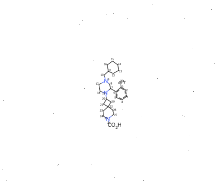 CC(C)c1ccccc1C1CN(CC2CCCCC2)CCN1C1CC2(CCN(C(=O)O)CC2)C1